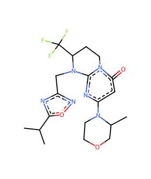 CC(C)c1nc(CN2c3nc(N4CCOCC4C)cc(=O)n3CCC2C(F)(F)F)no1